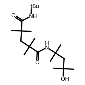 CC(C)(O)CC(C)(C)NC(=O)C(C)(C)CC(C)(C)C(=O)NC(C)(C)C